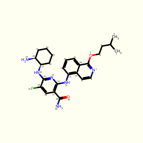 CC(C)CCOc1nccc2c(Nc3nc(N[C@@H]4CCCC[C@@H]4N)c(F)cc3C(N)=O)cccc12